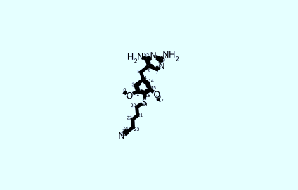 COc1cc(Cc2cnc(N)nc2N)cc(OC)c1SCCCCC#N